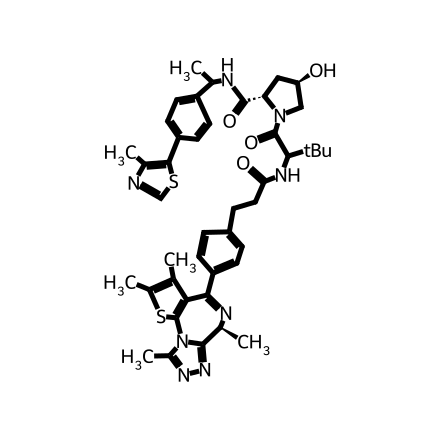 Cc1ncsc1-c1ccc(C(C)NC(=O)[C@@H]2C[C@@H](O)CN2C(=O)C(NC(=O)CCc2ccc(C3=N[C@@H](C)c4nnc(C)n4-c4sc(C)c(C)c43)cc2)C(C)(C)C)cc1